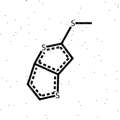 CSc1cc2sccc2s1